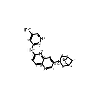 CC(C)c1cnnc(Nc2ccc3ncc(N4CC5CC(C4)O5)cc3n2)c1